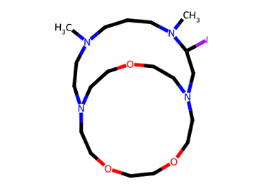 CN1CCCN(C)C(I)CN2CCOCCOCCN(CCOCC2)CC1